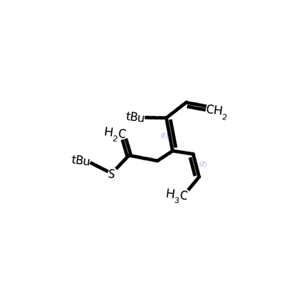 C=C/C(=C(\C=C/C)CC(=C)SC(C)(C)C)C(C)(C)C